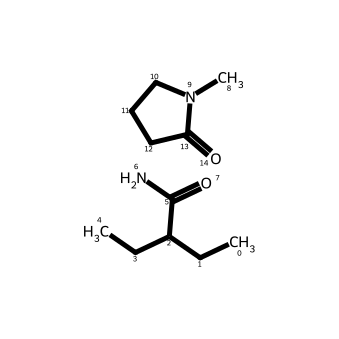 CCC(CC)C(N)=O.CN1CCCC1=O